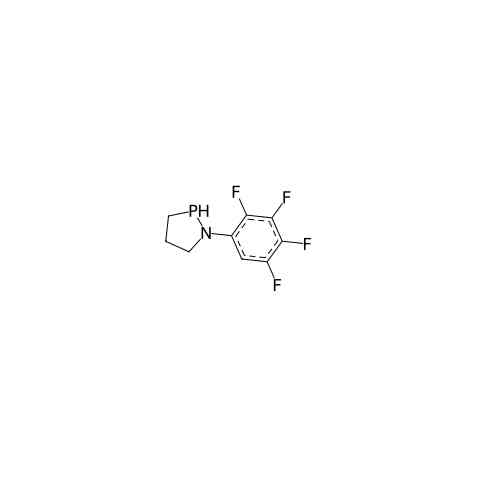 Fc1cc(N2CCCP2)c(F)c(F)c1F